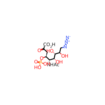 CC(=O)N[C@@H]([C@@H](O)[C@H](O)[C@H](O)CN=[N+]=[N-])[C@H](CC(=O)C(=O)O)OP(=O)(O)O